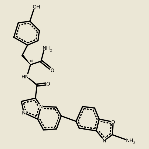 NC(=O)[C@H](Cc1ccc(O)cc1)NC(=O)c1cnc2ccc(-c3ccc4oc(N)nc4c3)cn12